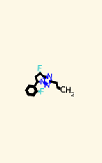 C=CCc1nc2n(n1)C(c1ccccc1F)CC2F